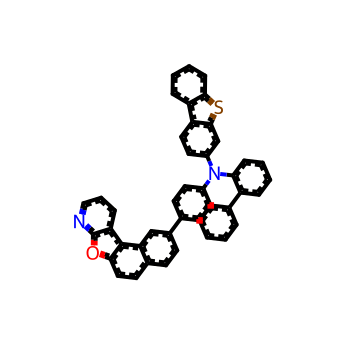 c1ccc(-c2ccccc2N(c2ccc(-c3ccc4ccc5oc6ncccc6c5c4c3)cc2)c2ccc3c(c2)sc2ccccc23)cc1